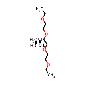 C=C.C=C.CCOCCOCCOCCOCC